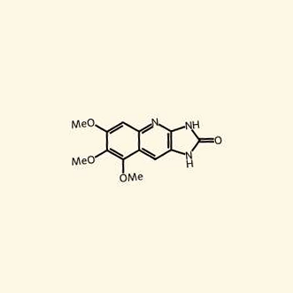 COc1cc2nc3[nH]c(=O)[nH]c3cc2c(OC)c1OC